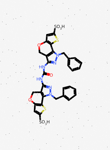 O=C(Nc1nn(Cc2ccccc2)c2c1COc1cc(S(=O)(=O)O)sc1-2)Nc1nn(Cc2ccccc2)c2c1COc1cc(S(=O)(=O)O)sc1-2